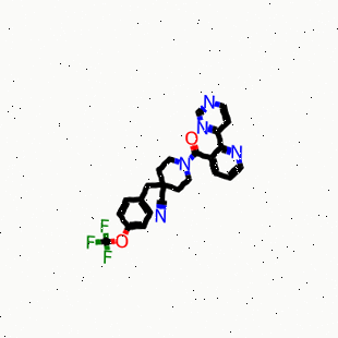 N#CC1(Cc2ccc(OC(F)(F)F)cc2)CCN(C(=O)c2cccnc2-c2ccncn2)CC1